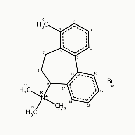 Cc1cccc2c1CCC([N+](C)(C)C)c1ccccc1-2.[Br-]